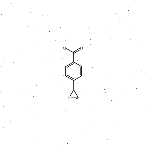 O=C(Cl)c1ccc(C2CO2)cc1